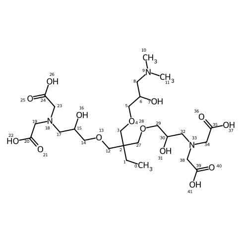 CCC(COCC(O)CN(C)C)(COCC(O)CN(CC(=O)O)CC(=O)O)COCC(O)CN(CC(=O)O)CC(=O)O